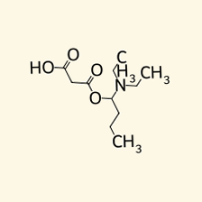 CCCC(OC(=O)CC(=O)O)N(CC)CC